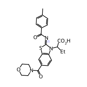 CCC(C(=O)O)n1/c(=N/C(=O)c2ccc(C)cc2)sc2cc(C(=O)N3CCOCC3)ccc21